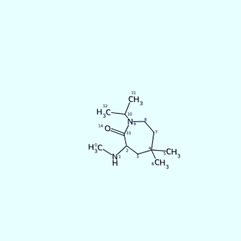 CNC1CC(C)(C)CCN(C(C)C)C1=O